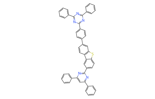 c1ccc(-c2cc(-c3ccccc3)nc(-c3ccc4sc5cc(-c6ccc(-c7nc(-c8ccccc8)nc(-c8ccccc8)n7)cc6)ccc5c4c3)n2)cc1